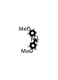 COc1ccc(OC(F)(F)c2ccc(OC)cc2)cc1